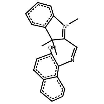 C[N+]1=C(/C=N\c2c(O)ccc3ccccc23)C(C)(C)c2ccccc21